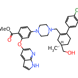 COC(=O)c1ccc(N2CCN(CC3=C(c4ccc(Cl)cc4)CC[C@@](C)(CO)C3)CC2)cc1Oc1cnc2[nH]ccc2c1